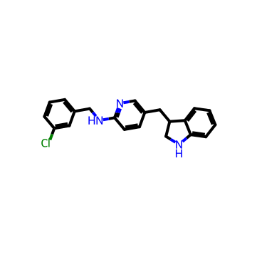 Clc1cccc(CNc2ccc(CC3CNc4ccccc43)cn2)c1